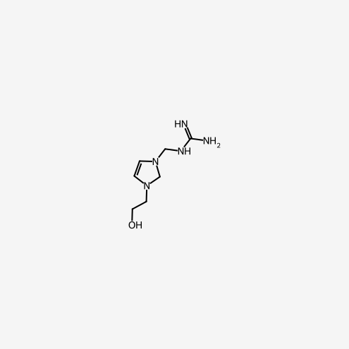 N=C(N)NCN1C=CN(CCO)C1